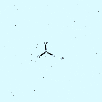 [In+3].[O-]P([O-])[O-]